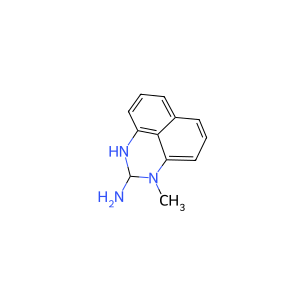 CN1c2cccc3cccc(c23)NC1N